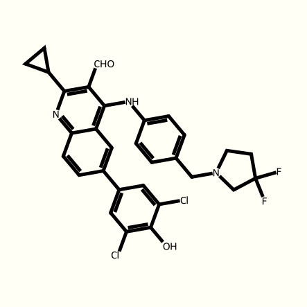 O=Cc1c(C2CC2)nc2ccc(-c3cc(Cl)c(O)c(Cl)c3)cc2c1Nc1ccc(CN2CCC(F)(F)C2)cc1